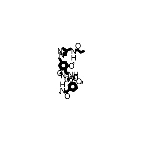 CCC(=O)NCc1cnn(Cc2cc(OC)c3c(NS(=O)(=O)c4cc(C(=O)NC)ccc4OC)noc3c2)c1